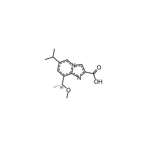 CO[C@H](C)c1cc(C(C)C)cn2cc(C(=O)O)nc12